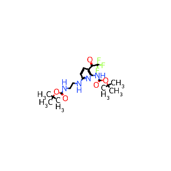 CC(C)(C)OC(=O)NCCNc1ccc(C(=O)C(F)(F)F)c(NC(=O)OC(C)(C)C)n1